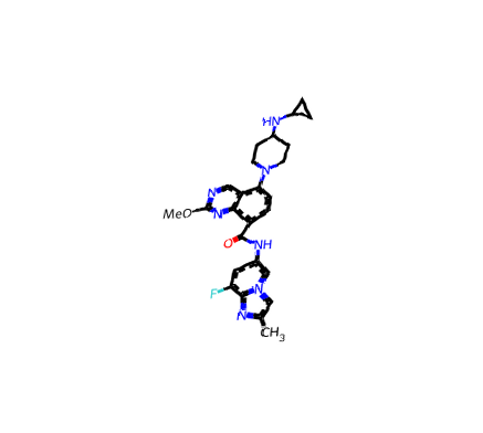 COc1ncc2c(N3CCC(NC4CC4)CC3)ccc(C(=O)Nc3cc(F)c4nc(C)cn4c3)c2n1